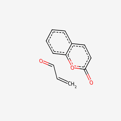 C=CC=O.O=c1ccc2ccccc2o1